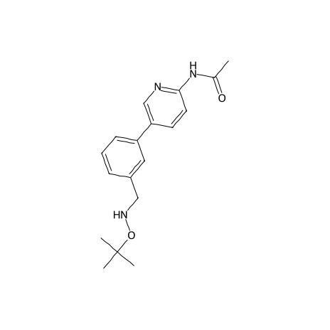 CC(=O)Nc1ccc(-c2cccc(CNOC(C)(C)C)c2)cn1